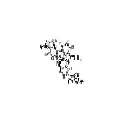 COC(=O)c1ccc2nc(-c3ccc4[nH]ccc4c3)c(N3CCCCC3C)nc2c1